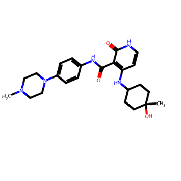 CN1CCN(c2ccc(NC(=O)c3c(NC4CCC(C)(O)CC4)cc[nH]c3=O)cc2)CC1